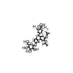 CC(C)(O)c1ccc([C@@H](Cc2ccc(O[C@@H]3OC(CO)[C@H](O)C(O)[C@@H]3O)nc2)c2ccc(OC(F)F)c(OC3CC3)c2)cn1